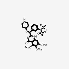 COc1cc2[nH]c(C(OC3CCNCC3)c3cccc(N(S(C)(=O)=O)S(C)(=O)=O)c3)nc(=O)c2c(OC)c1OC